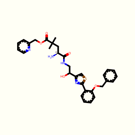 CC(C)(C[C@H](N)C(=O)NCC(O)c1csc(-c2ccccc2OCc2ccccc2)n1)C(=O)OCc1ccccn1